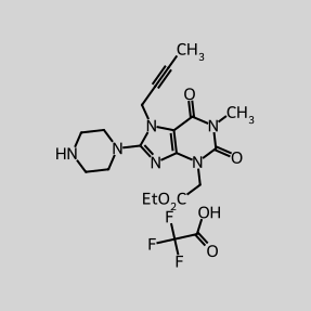 CC#CCn1c(N2CCNCC2)nc2c1c(=O)n(C)c(=O)n2CC(=O)OCC.O=C(O)C(F)(F)F